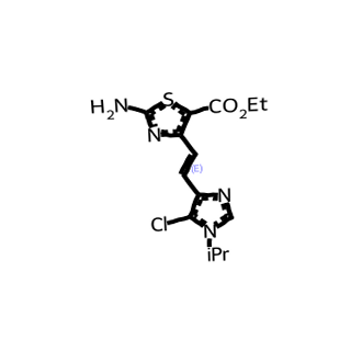 CCOC(=O)c1sc(N)nc1/C=C/c1ncn(C(C)C)c1Cl